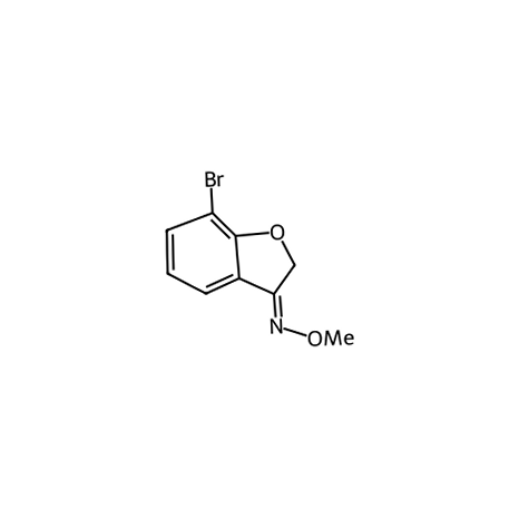 CO/N=C1\COc2c(Br)cccc21